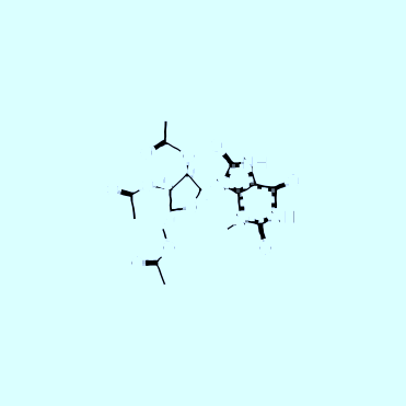 CC(=O)OC[C@H]1O[C@@H](n2c(=O)[nH]c3c(=O)[nH]c(=O)n(C)c32)[C@H](OC(C)=O)[C@@H]1OC(C)=O